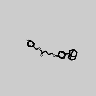 O=C(CCCOc1ccc(C23CC4CC(CC(C4)C2)C3)cc1)OCc1ccncc1